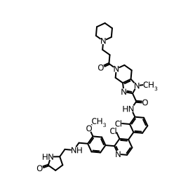 COc1cc(-c2nccc(-c3cccc(NC(=O)c4nc5c(n4C)CCN(C(=O)CCN4CCCCC4)C5)c3Cl)c2Cl)ccc1CNCC1CCC(=O)N1